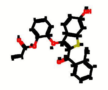 C=CC(=O)Oc1ccccc1Oc1c(C(=O)c2ccccc2CC)sc2cc(O)ccc12